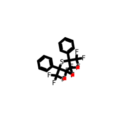 FC(F)(F)C(SC(c1ccccc1)(C(F)(F)F)C(F)(F)F)(c1ccccc1)C(F)(F)F